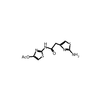 CC(=O)Oc1csc(NC(=O)Cc2csc(N)n2)n1